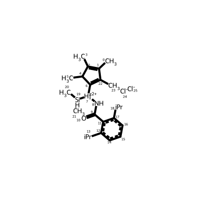 CC1=C(C)C(C)[C]([Hf+2]([NH]C(=O)c2c(C(C)C)cccc2C(C)C)[SiH](C)C)=C1C.[Cl-].[Cl-]